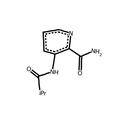 CC(C)C(=O)Nc1cccnc1C(N)=O